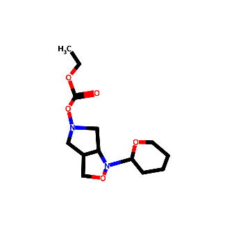 CCOC(=O)ON1CC2CON(C3CCCCO3)C2C1